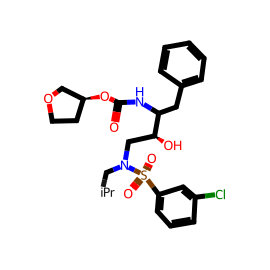 CC(C)CN(C[C@H](O)C(Cc1ccccc1)NC(=O)O[C@H]1CCOC1)S(=O)(=O)c1cccc(Cl)c1